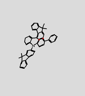 CC1(C)c2ccccc2-c2ccc(N(C3=CCCC=C3c3cccc4c3-c3ccccc3C4(C)C)c3ccc(-c4ccccc4)cc3)cc21